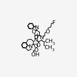 CC[C@H](C)[C@@H](C(=O)N[C@H]1CCc2cccc3c2N(C1=O)[C@H](C(=O)O)C3)N(CCOCCCF)C(=O)Cc1nc2ccccc2o1